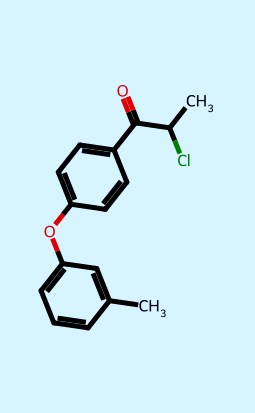 Cc1cccc(Oc2ccc(C(=O)C(C)Cl)cc2)c1